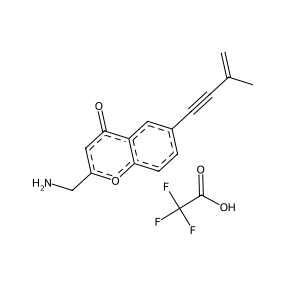 C=C(C)C#Cc1ccc2oc(CN)cc(=O)c2c1.O=C(O)C(F)(F)F